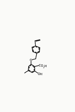 C=Cc1ccc(COc2cc(C)cc(O)c2C(=O)O)cc1